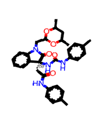 Cc1ccc(NC(=O)C[C@@]2(NC(=O)Nc3ccc(C)cc3)C(=O)N(CC3OC(C)CC(C)O3)c3ccccc32)cc1